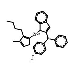 CCCCC1=[C]([Zr+2][CH]2C(P(c3ccccc3)c3ccccc3)=Cc3ccccc32)CC=C1C.[F-].[F-]